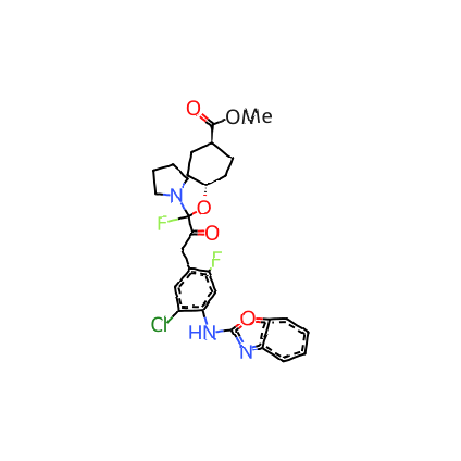 COC(=O)[C@H]1CC[C@H](OC(F)(C(=O)Cc2cc(Cl)c(Nc3nc4ccccc4o3)cc2F)N2CCCC2)CC1